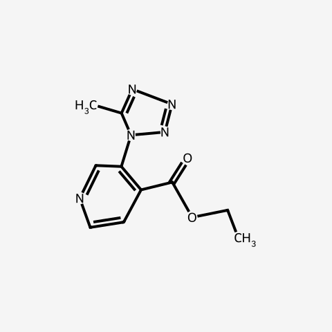 CCOC(=O)c1ccncc1-n1nnnc1C